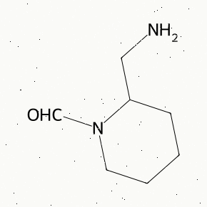 NCC1CCCCN1C=O